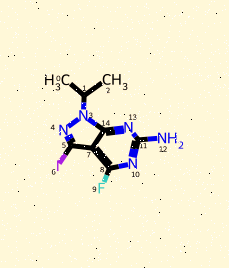 CC(C)n1nc(I)c2c(F)nc(N)nc21